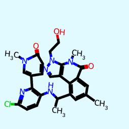 Cc1cc(C(C)Nc2ccc(Cl)nc2-c2ccc(=O)n(C)c2)c2c(c1)c(=O)n(C)c1c2cnn1CCO